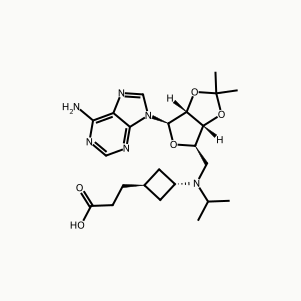 CC(C)N(C[C@H]1O[C@@H](n2cnc3c(N)ncnc32)[C@@H]2OC(C)(C)O[C@@H]21)[C@H]1C[C@H](CCC(=O)O)C1